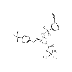 CC(C)(C)OC(=O)N1C[C@@H](NS(=O)(=O)c2cccc(C#N)c2)[C@H](OCc2ccc(C(F)(F)F)cc2)C1